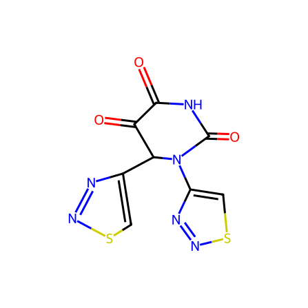 O=C1NC(=O)N(c2csnn2)C(c2csnn2)C1=O